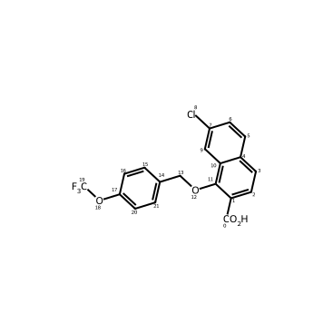 O=C(O)c1ccc2ccc(Cl)cc2c1OCc1ccc(OC(F)(F)F)cc1